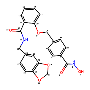 O=C(NO)c1ccc(COc2ccccc2C(=O)NCc2ccc3c(c2)OCO3)cc1